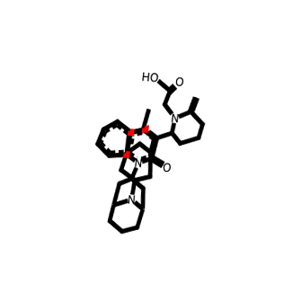 C=C1CCCC(c2nc3ccccc3n(C3CC4CCCC(C3)N4C3CC4CC(C)CC(C4)C3)c2=O)N1CC(=O)O